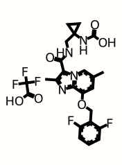 Cc1cc(OCc2c(F)cccc2F)c2nc(C)c(C(=O)NCC3(NC(=O)O)CC3)n2c1.O=C(O)C(F)(F)F